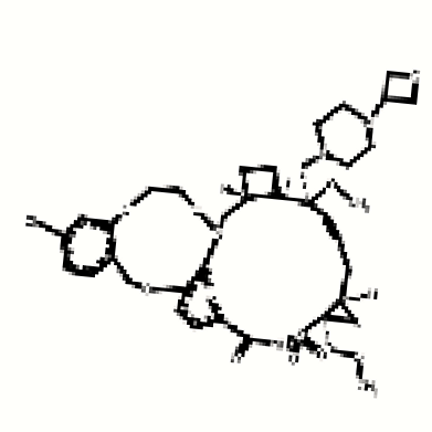 COC[C@@]12C[C@H]1C/C=C/[C@](CN1CCN(C3COC3)CC1)(OC)[C@@H]1CC[C@H]1CN1CCCCc3cc(Cl)ccc3COc3ccc(cc31)C(=O)NS2(=O)=O